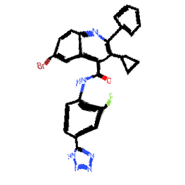 O=C(Nc1ccc(-c2nnn[nH]2)cc1F)c1c(C2CC2)c(-c2ccccc2)nc2ccc(Br)cc12